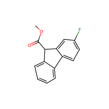 COC(=O)C1c2ccccc2-c2ccc(F)cc21